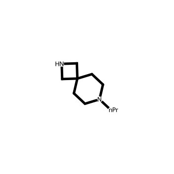 CCCN1CCC2(CC1)CNC2